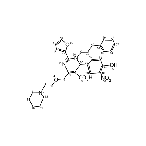 O=C(O)C1=C(COCCN2CCCCC2)N=C(c2ccco2)N(CCCc2ccccc2)C1c1ccc(O)c([N+](=O)[O-])c1